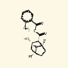 CN1[C@H]2CC[C@@H]1[C@@H](C(=O)OC(=O)c1ccccc1N)[C@@H](O)C2